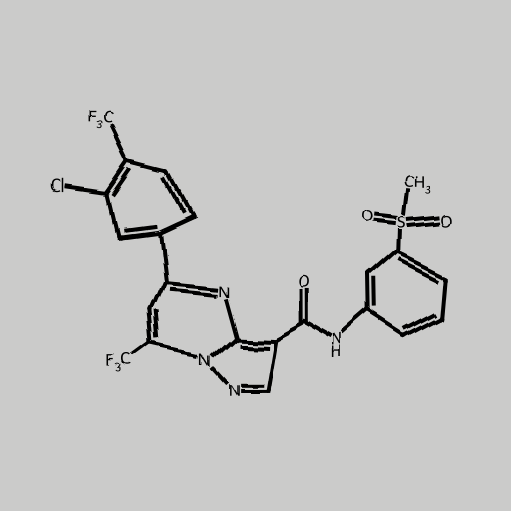 CS(=O)(=O)c1cccc(NC(=O)c2cnn3c(C(F)(F)F)cc(-c4ccc(C(F)(F)F)c(Cl)c4)nc23)c1